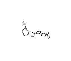 COc1ccc2cccc(C=O)c2c1